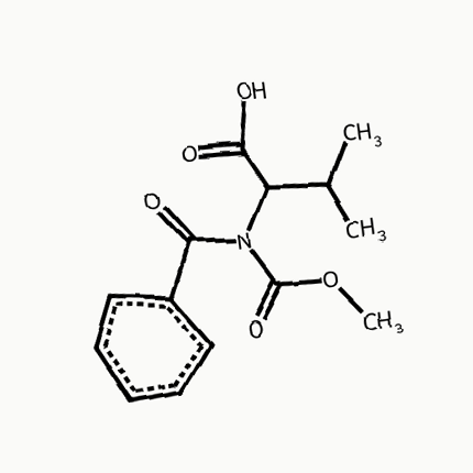 COC(=O)N(C(=O)c1ccccc1)C(C(=O)O)C(C)C